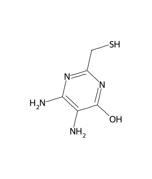 Nc1nc(CS)nc(O)c1N